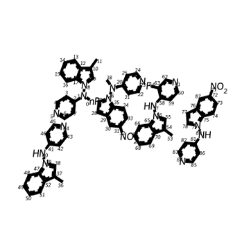 CCCN(c1ccncc1)n1cc(C)c2ccccc21.CN(c1ccncc1)n1ccc2cc([N+](=O)[O-])ccc21.Cc1cn(Nc2ccncc2)c2ccccc12.Cc1cn(Nc2ccncc2F)c2ccccc12.O=[N+]([O-])c1ccc2c(ccn2Nc2ccncc2)c1